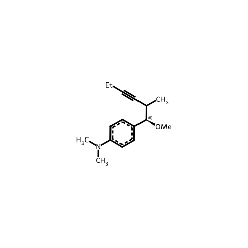 CCC#CC(C)[C@@H](OC)c1ccc(N(C)C)cc1